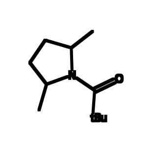 CC1CCC(C)N1C(=O)C(C)(C)C